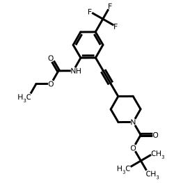 CCOC(=O)Nc1ccc(C(F)(F)F)cc1C#CC1CCN(C(=O)OC(C)(C)C)CC1